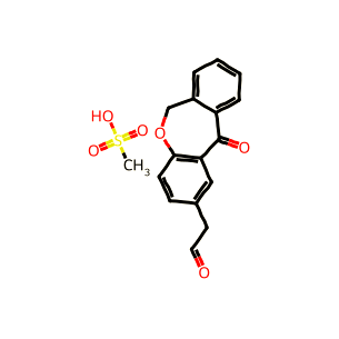 CS(=O)(=O)O.O=CCc1ccc2c(c1)C(=O)c1ccccc1CO2